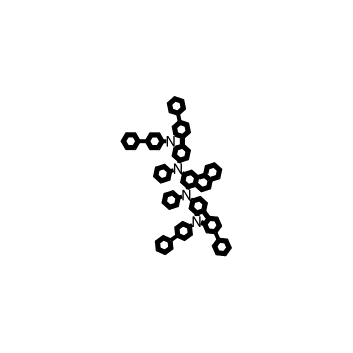 c1ccc(-c2ccc(-n3c4cc(-c5ccccc5)ccc4c4ccc(N(c5ccccc5)c5cc(N(c6ccccc6)c6ccc7c8ccc(-c9ccccc9)cc8n(-c8ccc(-c9ccccc9)cc8)c7c6)c6ccc7ccccc7c6c5)cc43)cc2)cc1